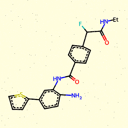 CCNC(=O)C(F)c1ccc(C(=O)Nc2cc(-c3cccs3)ccc2N)cc1